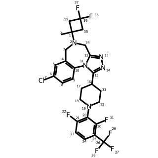 CC1(N2Cc3cc(Cl)ccc3-n3c(nnc3C3CCN(c4c(F)ccc(C(F)(F)F)c4F)CC3)C2)CC(F)(F)C1